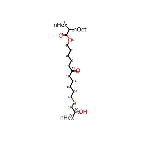 CCCCCCCCC(CCCCCC)C(=O)OCCCCCC(=O)CCCCCSCC(O)CCCCCC